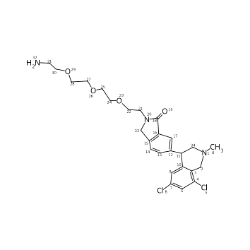 CN1Cc2c(Cl)cc(Cl)cc2C(c2ccc3c(c2)C(=O)N(CCOCCOCCOCCN)C3)C1